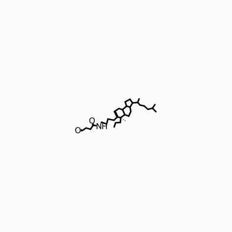 CCC[C@@]1(C)C(CCCCNC(=O)CCC=O)=CCC2C3CCC(C(C)CCCC(C)C)C3CCC21